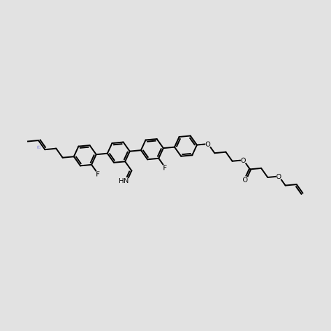 C=CCOCCC(=O)OCCCOc1ccc(-c2ccc(-c3ccc(-c4ccc(CC/C=C/C)cc4F)cc3C=N)cc2F)cc1